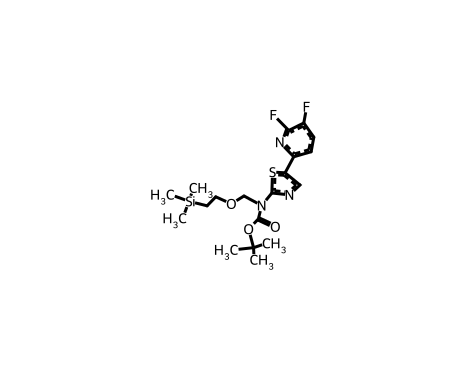 CC(C)(C)OC(=O)N(COCC[Si](C)(C)C)c1ncc(-c2ccc(F)c(F)n2)s1